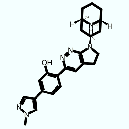 Cn1cc(-c2ccc(-c3cc4c(nn3)N([C@@H]3C[C@H]5CCC[C@@H](C3)N5)CC4)c(O)c2)cn1